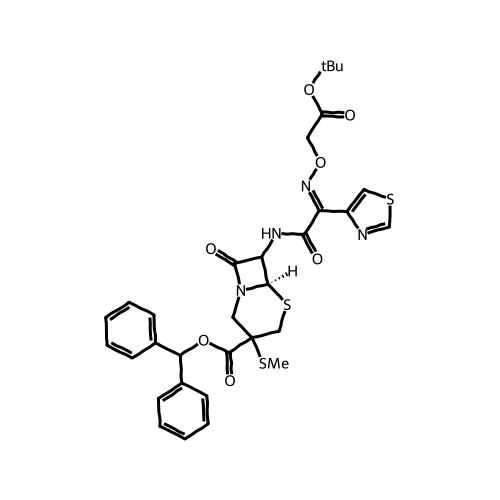 CSC1(C(=O)OC(c2ccccc2)c2ccccc2)CS[C@@H]2C(NC(=O)C(=NOCC(=O)OC(C)(C)C)c3cscn3)C(=O)N2C1